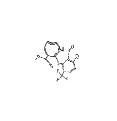 COC(=O)c1cccnc1Sc1c(C(F)(F)F)ccc(Cl)c1C=O